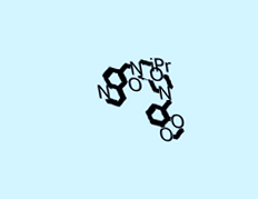 CC(C)CN(Cc1ccc2ncccc2c1)C(=O)[C@H]1CN(Cc2cccc3c2OCCO3)CCO1